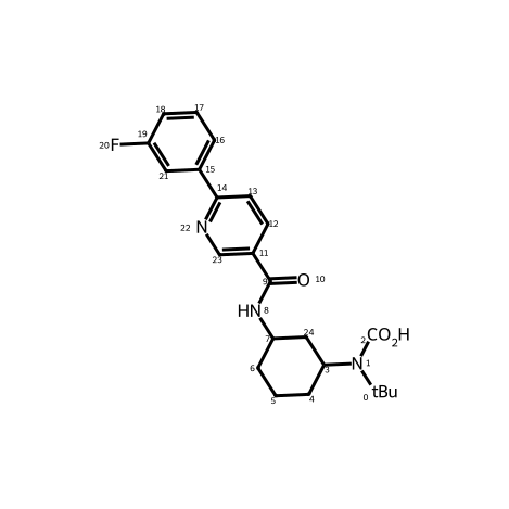 CC(C)(C)N(C(=O)O)C1CCCC(NC(=O)c2ccc(-c3cccc(F)c3)nc2)C1